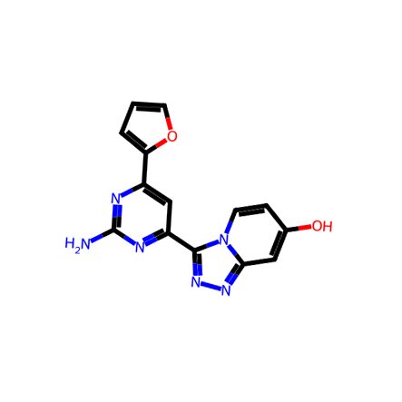 Nc1nc(-c2ccco2)cc(-c2nnc3cc(O)ccn23)n1